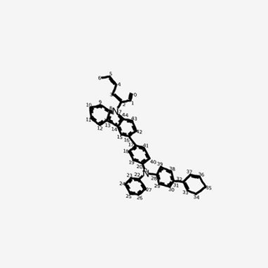 C=C/C(=C\C=C/C)n1c2ccccc2c2cc(-c3ccc(N(c4ccccc4)c4ccc(C5=CCCC=C5)cc4)cc3)ccc21